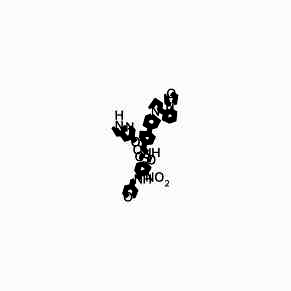 O=C(NS(=O)(=O)c1ccc(NCC2CCOCC2)c([N+](=O)[O-])c1)c1ccc(-c2ccc(N3CCCC3c3ccccc3N3CCOCC3)cc2)cc1Oc1cnc2[nH]ccc2c1